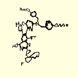 COc1ccc(CN(Cc2ccc(OC)cc2)c2ccc(C)c(-c3c(Cl)cc4c(O)nc(OC[C@@]56CCCN5C[C@H](F)C6)nc4c3F)n2)cc1